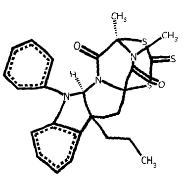 CCCC12CC34SC(=S)S[C@](C)(C(=O)N3[C@@H]1N(c1ccccc1)c1ccccc12)N(C)C4=O